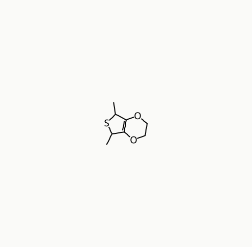 CC1SC(C)C2=C1OCCO2